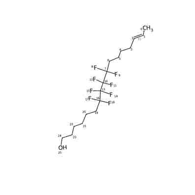 C/C=C/CCCCC(F)(F)C(F)(F)C(F)(F)C(F)(F)CCCCCCO